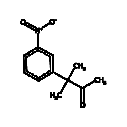 CC(=O)C(C)(C)c1cccc([N+](=O)[O-])c1